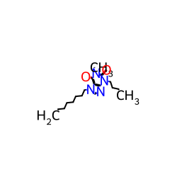 C=CCCCCCCn1cnc2c1c(=O)n(C)c(=O)n2CCCC